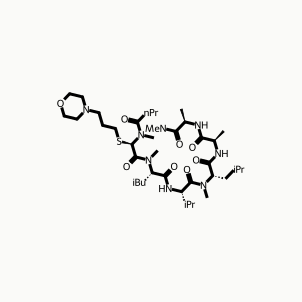 CCCC(=O)N(C)[C@H](SCCCN1CCOCC1)C(=O)N(C)[C@H](C(=O)N[C@H](C(=O)N(C)[C@@H](CC(C)C)C(=O)N[C@H](C)C(=O)N[C@H](C)C(=O)NC)C(C)C)C(C)CC